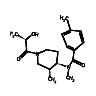 Cc1ccc(C(=O)N(C)[C@H]2CCN(C(=O)[C@@H](O)C(F)(F)F)C[C@H]2C)cc1